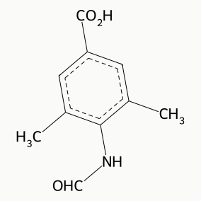 Cc1cc(C(=O)O)cc(C)c1NC=O